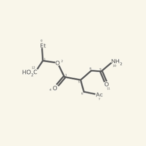 CCC(OC(=O)C(CC(C)=O)CC(N)=O)C(=O)O